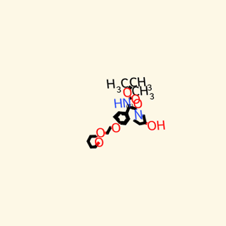 CC(C)(C)OC(=O)N[C@H](C(=O)N1CCC(O)C1)c1ccc(OCCOC2CCCCO2)cc1